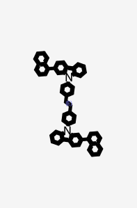 C(=C\c1ccc(-n2c3ccccc3c3ccc(-c4cccc5ccccc45)cc32)cc1)/c1ccc(-n2c3ccccc3c3ccc(-c4cccc5ccccc45)cc32)cc1